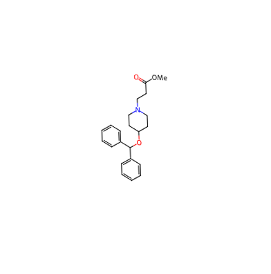 COC(=O)CCN1CCC(OC(c2ccccc2)c2ccccc2)CC1